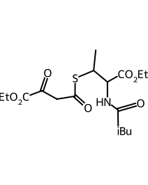 CCOC(=O)C(=O)CC(=O)SC(C)C(NC(=O)C(C)CC)C(=O)OCC